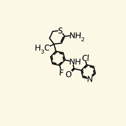 CC1(c2ccc(F)c(NC(=O)c3cnccc3Cl)c2)C=C(N)SCC1